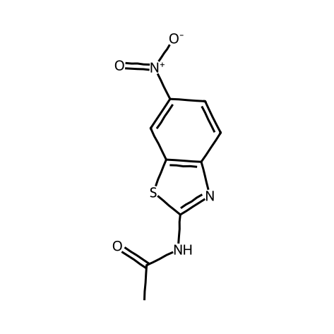 CC(=O)Nc1nc2ccc([N+](=O)[O-])cc2s1